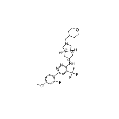 COc1ccc(-c2cc(C(F)(F)F)c(N[C@H]3C[C@@H]4CN(CC5CCOCC5)C[C@@H]4C3)nn2)c(F)c1